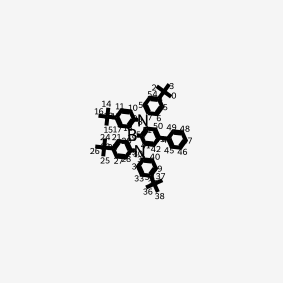 CC(C)(C)c1ccc(N2c3ccc(C(C)(C)C)cc3B3c4cc(C(C)(C)C)ccc4N(c4ccc(C(C)(C)C)cc4)c4cc(-c5ccccc5)cc2c43)cc1